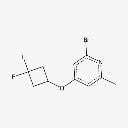 Cc1cc(OC2CC(F)(F)C2)cc(Br)n1